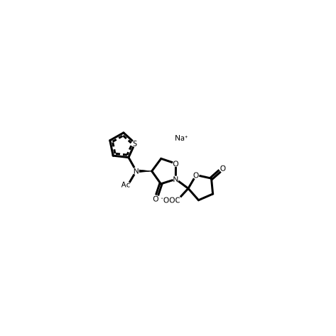 CC(=O)N(c1cccs1)[C@H]1CON(C2(C(=O)[O-])CCC(=O)O2)C1=O.[Na+]